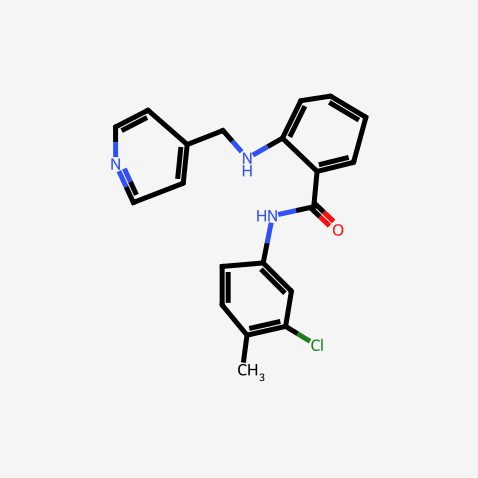 Cc1ccc(NC(=O)c2ccccc2NCc2ccncc2)cc1Cl